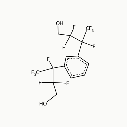 OCC(F)(F)C(F)(c1cccc(C(F)(C(F)(F)F)C(F)(F)CO)c1)C(F)(F)F